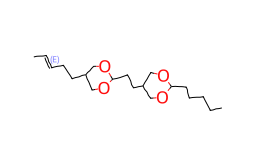 C/C=C/CCC1COC(CCC2COC(CCCCC)OC2)OC1